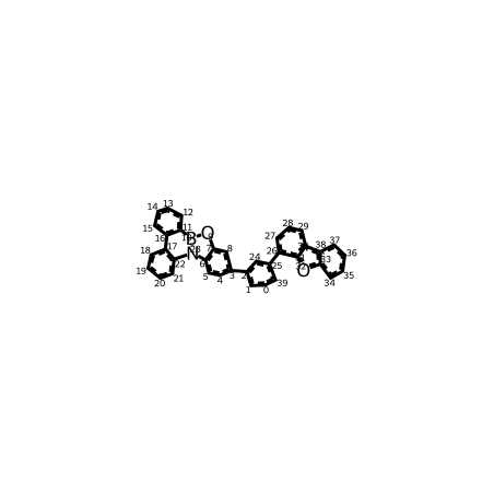 c1cc(-c2ccc3c(c2)OB2c4ccccc4-c4ccccc4N23)cc(-c2cccc3c2oc2ccccc23)c1